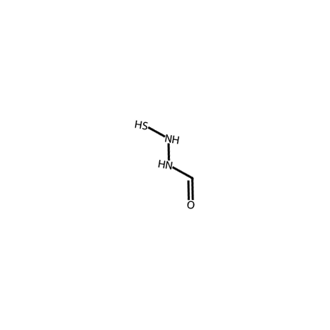 O=CNNS